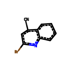 N#Cc1cc(Br)nc2ccccc12